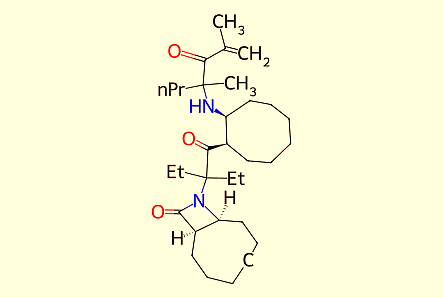 C=C(C)C(=O)C(C)(CCC)N[C@H]1CCCCCC[C@H]1C(=O)C(CC)(CC)N1C(=O)[C@@H]2CCCCCC[C@@H]21